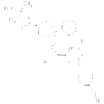 C[C@H](OCC1(c2ccccc2)CCN(C(=O)OC(C)(C)C)CC1)c1cc(F)cc(-c2ccc(C#N)cc2)c1